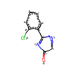 O=C1C=NC(c2cc[c]cc2Cl)=N1